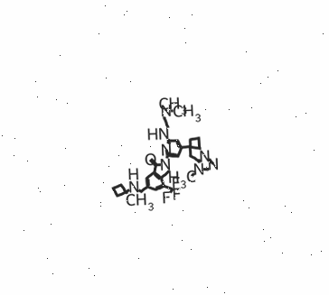 CN(C)CCNc1cc(C2(Cc3nncn3C)CCC2)cc(N2Cc3c(cc(CNC4(C)CCC4)cc3C(F)(F)F)C2=O)n1